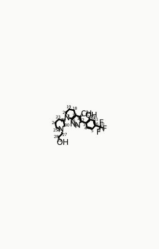 Cc1c(-c2ccc(C(F)(F)F)cc2O)nnc2c1CCCN2[C@@H]1CCCN(CCO)C1